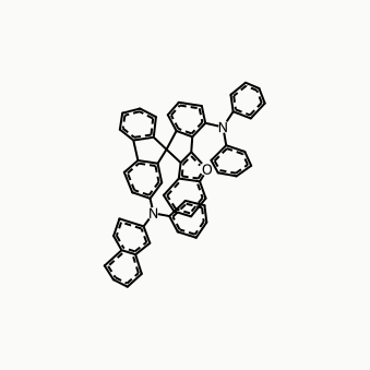 c1ccc(N(c2ccc3c(c2)C2(c4ccccc4-3)c3cccc(N(c4ccccc4)c4ccccc4)c3-c3oc4ccccc4c32)c2ccc3ccccc3c2)cc1